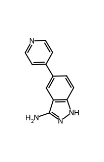 Nc1n[nH]c2ccc(-c3ccncc3)cc12